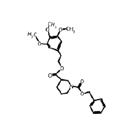 COc1cc(CCOC(=O)C2CCCN(C(=O)OCc3ccccc3)C2)cc(OC)c1OC